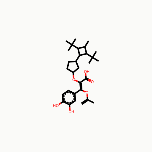 C=C(C)O/C(=C(/OC1CCC(C2C(C(C)(C)C)C(C)C2C(C)(C)C)C1)C(=O)O)c1ccc(O)c(O)c1